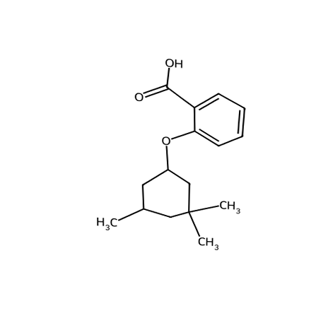 CC1CC(Oc2ccccc2C(=O)O)CC(C)(C)C1